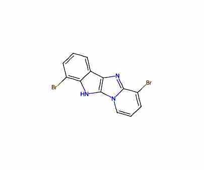 Brc1cccc2c1[nH]c1c2nc2c(Br)cccn21